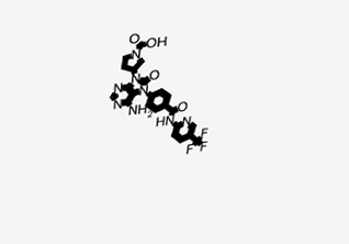 Nc1ncnc2c1n(-c1ccc(C(=O)Nc3ccc(C(F)(F)F)cn3)cc1)c(=O)n2C1CCN(C(=O)O)C1